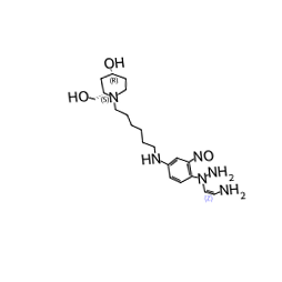 N/C=C\N(N)c1ccc(NCCCCCCN2CC[C@@H](O)C[C@H]2CO)cc1N=O